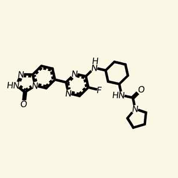 O=C(NC1CCCC(Nc2nc(-c3ccc4n[nH]c(=O)n4c3)ncc2F)C1)N1CCCC1